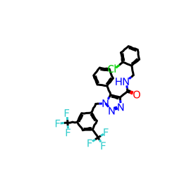 O=C(NCc1ccccc1Cl)c1nnn(Cc2cc(C(F)(F)F)cc(C(F)(F)F)c2)c1-c1ccccc1